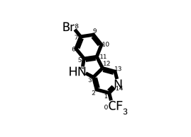 FC(F)(F)c1cc2[nH]c3cc(Br)ccc3c2cn1